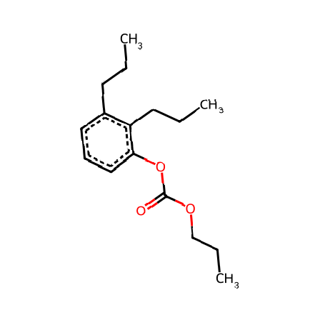 CCCOC(=O)Oc1cccc(CCC)c1CCC